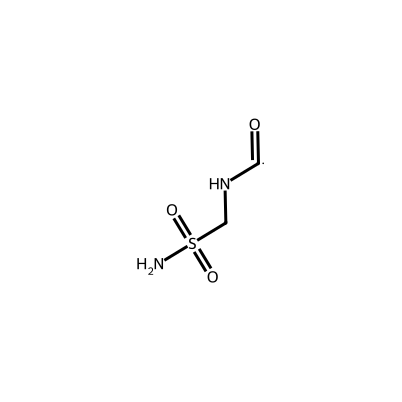 NS(=O)(=O)CN[C]=O